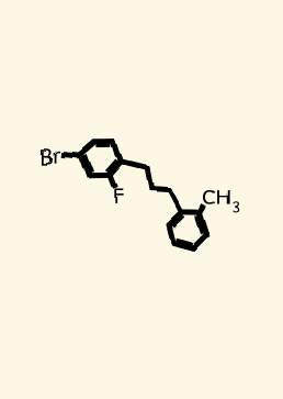 Cc1ccccc1CCCc1ccc(Br)cc1F